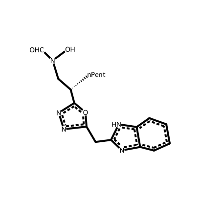 CCCCC[C@@H](CN(O)C=O)c1nnc(Cc2nc3ccccc3[nH]2)o1